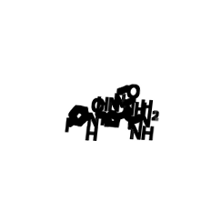 N=C/C(=C\N)C(=N)C1=C(NN2CCOCC2)N(C(=O)Nc2cccc(I)c2)CC1